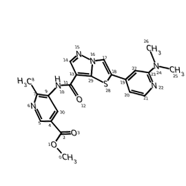 COC(=O)c1cnc(C)c(NC(=O)c2cnn3cc(-c4ccnc(N(C)C)c4)sc23)c1